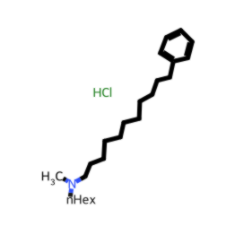 CCCCCCN(C)CCCCCCCCCCCc1ccccc1.Cl